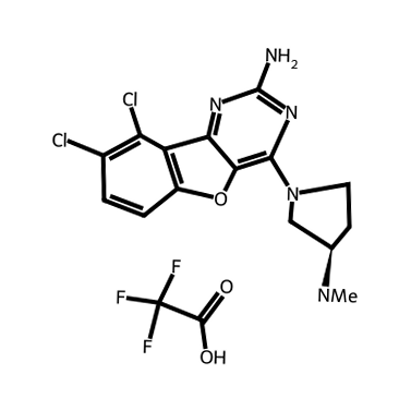 CN[C@@H]1CCN(c2nc(N)nc3c2oc2ccc(Cl)c(Cl)c23)C1.O=C(O)C(F)(F)F